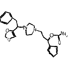 NC(=O)OC(CCN1CCN(C(Cc2ccccc2)C2=COCO2)CC1)c1ccccc1